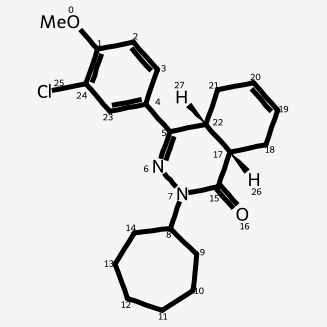 COc1ccc(C2=NN(C3CCCCCC3)C(=O)[C@H]3CC=CC[C@@H]23)cc1Cl